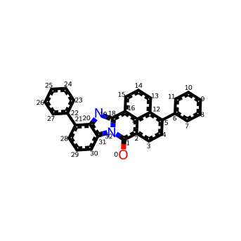 O=c1c2ccc(-c3ccccc3)c3cccc(c32)c2nc3c(-c4ccccc4)cccc3n12